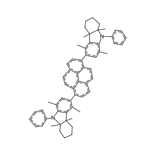 Cc1cc(-c2ccc3ccc4c(-c5cc(C)c6c(c5C)C5(C)CCCCC5(C)N6c5ccccc5)ccc5ccc2c3c54)c(C)c2c1N(c1ccccc1)C1(C)CCCCC21C